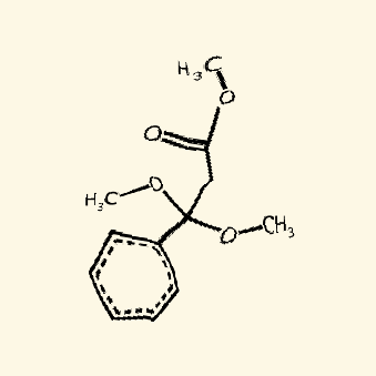 COC(=O)CC(OC)(OC)c1ccccc1